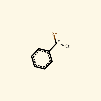 CC[C@@H](S)c1ccccc1